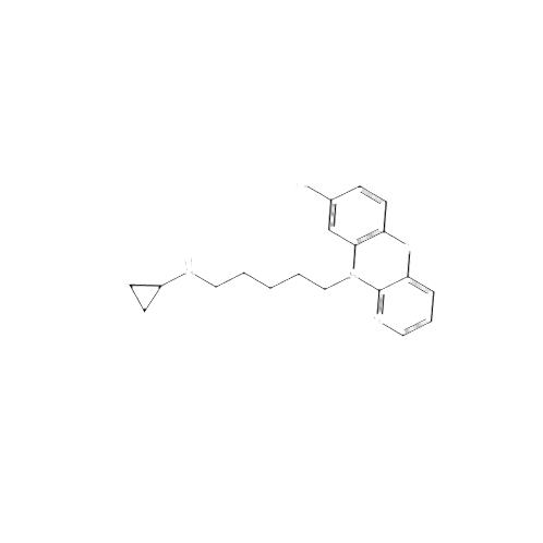 Clc1ccc2c(c1)N(CCCCCNC1CC1)c1ncccc1S2